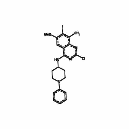 COc1cc2c(NC3CCN(c4ccccc4)CC3)nc(Cl)nc2c(C)c1I